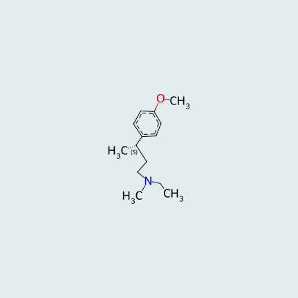 CCN(C)CC[C@H](C)c1ccc(OC)cc1